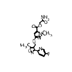 Cc1onc(-c2ccc(F)cn2)c1COc1cc(C(=O)OCC(N)=O)n(C)n1